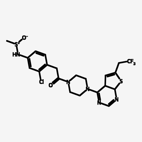 C[S+]([O-])Nc1ccc(CC(=O)N2CCN(C3=NC=NC4SC(CC(F)(F)F)=CC34)CC2)c(Cl)c1